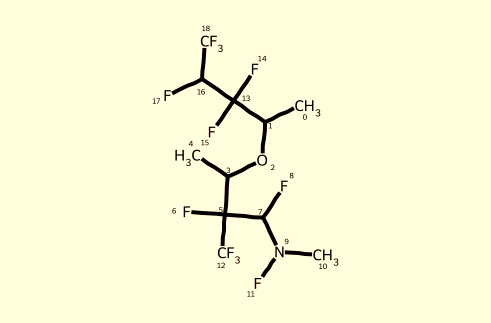 CC(OC(C)C(F)(C(F)N(C)F)C(F)(F)F)C(F)(F)C(F)C(F)(F)F